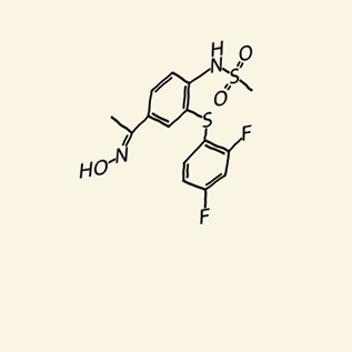 CC(=NO)c1ccc(NS(C)(=O)=O)c(Sc2ccc(F)cc2F)c1